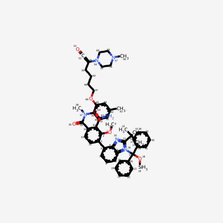 COc1c(-c2cccc3c2nc(C(C)(C)C)n3C(O[SiH3])(c2ccccc2)c2ccccc2)ccc(C(=O)N(C)c2ccc(C)cc2OCCCCC(=C=O)N2CCN(C)CC2)c1C(N)=O